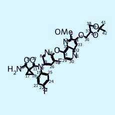 COc1nc2c(Oc3ncc(N(C(=O)C4(C(N)=O)CC4)c4ccc(F)cc4)cc3F)ccnc2cc1OCC1COC(C)(C)O1